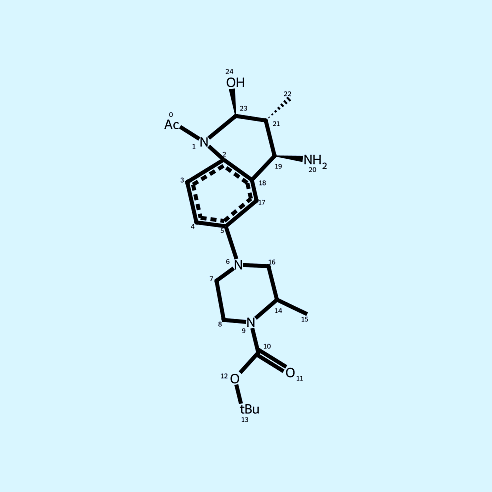 CC(=O)N1c2ccc(N3CCN(C(=O)OC(C)(C)C)C(C)C3)cc2[C@H](N)[C@@H](C)[C@@H]1O